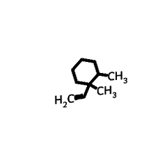 C=CC1(C)CCCCC1C